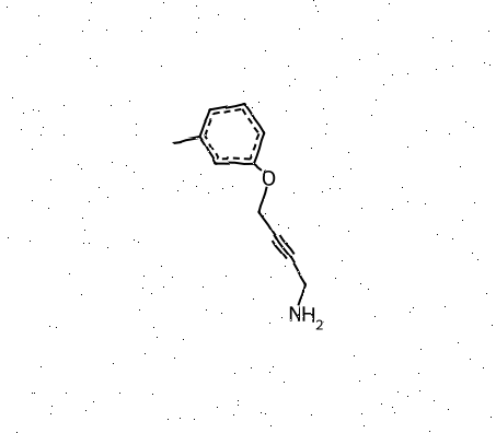 Cc1cccc(OCC#CCN)c1